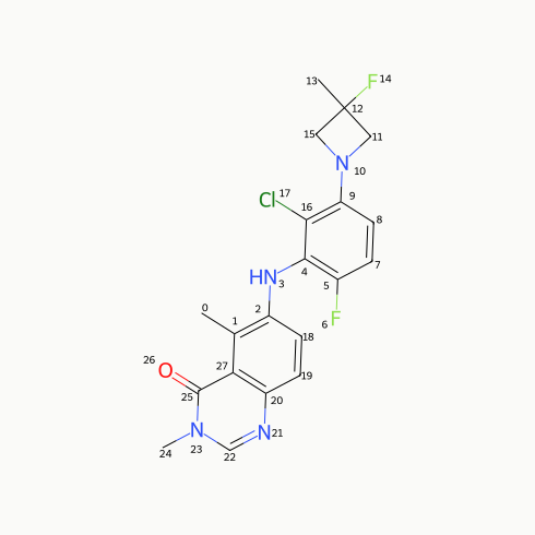 Cc1c(Nc2c(F)ccc(N3CC(C)(F)C3)c2Cl)ccc2ncn(C)c(=O)c12